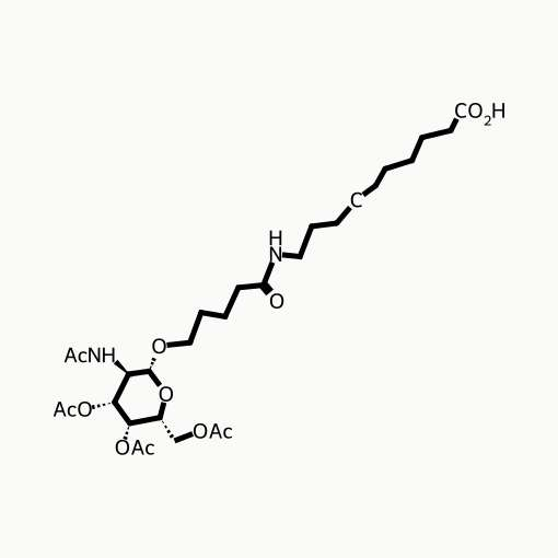 CC(=O)N[C@H]1[C@H](OCCCCC(=O)NCCCCCCCCCC(=O)O)O[C@H](COC(C)=O)[C@H](OC(C)=O)[C@@H]1OC(C)=O